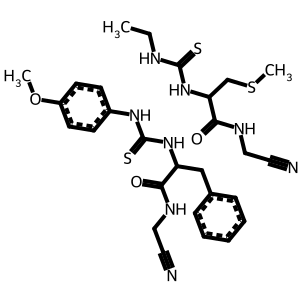 CCNC(=S)NC(CSC)C(=O)NCC#N.COc1ccc(NC(=S)NC(Cc2ccccc2)C(=O)NCC#N)cc1